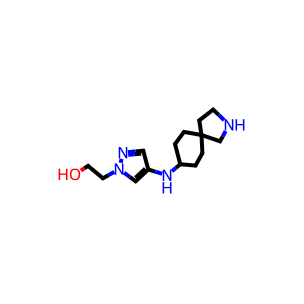 OCCn1cc(NC2CCC3(CCNC3)CC2)cn1